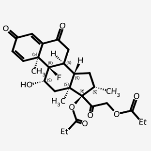 CCC(=O)OCC(=O)[C@@]1(OC(=O)CC)[C@@H](C)C[C@H]2[C@@H]3CC(=O)C4=CC(=O)C=C[C@]4(C)[C@@]3(F)[C@@H](O)C[C@@]21C